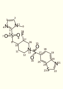 Cn1ccnc1S(=O)(=O)CC1CCN(S(=O)(=O)c2ccc3ncsc3c2)CC1F